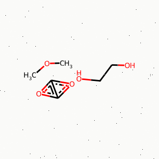 COC.OCCO.o1c2oc1=2